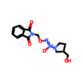 O=C1c2ccccc2C(=O)N1CO/N=[N+](\[O-])N1CCC(CO)C1